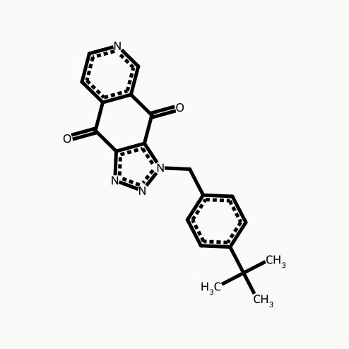 CC(C)(C)c1ccc(Cn2nnc3c2C(=O)c2cnccc2C3=O)cc1